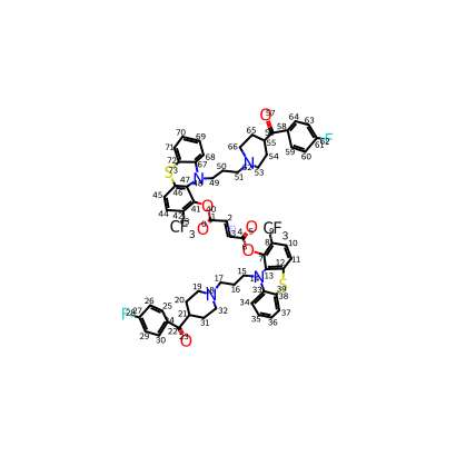 O=C(/C=C/C(=O)Oc1c(C(F)(F)F)ccc2c1N(CCCN1CCC(C(=O)c3ccc(F)cc3)CC1)c1ccccc1S2)Oc1c(C(F)(F)F)ccc2c1N(CCCN1CCC(C(=O)c3ccc(F)cc3)CC1)c1ccccc1S2